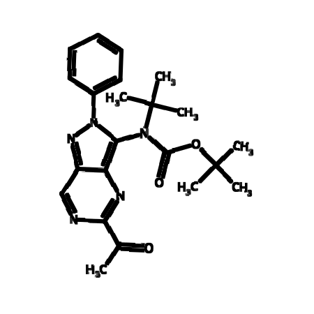 CC(=O)c1ncc2nn(-c3ccccc3)c(N(C(=O)OC(C)(C)C)C(C)(C)C)c2n1